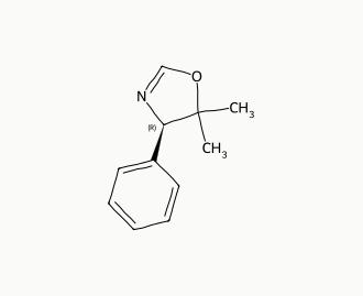 CC1(C)OC=N[C@@H]1c1ccccc1